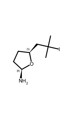 CC(C)(I)C[C@@H]1CC[C@H](N)O1